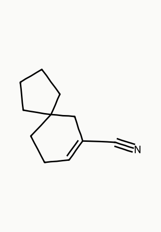 N#CC1=CCCC2(CCCC2)C1